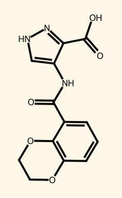 O=C(Nc1c[nH]nc1C(=O)O)c1cccc2c1OCCO2